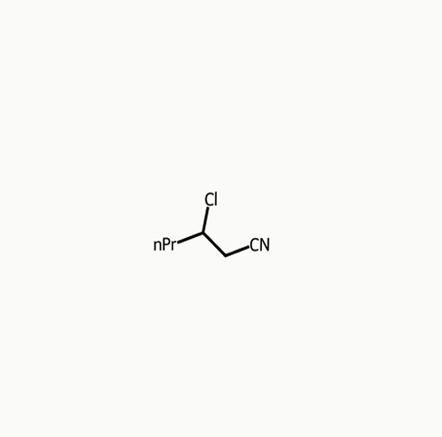 CCCC(Cl)CC#N